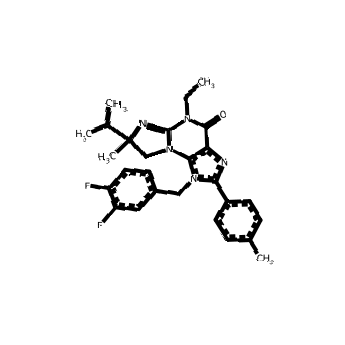 CCN1C(=O)c2nc(-c3ccc(C)cc3)n(Cc3ccc(F)c(F)c3)c2N2CC(C)(C(C)C)N=C12